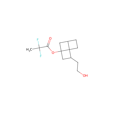 CC(F)(F)C(=O)OC12CC(CCO)C13CCC3C2